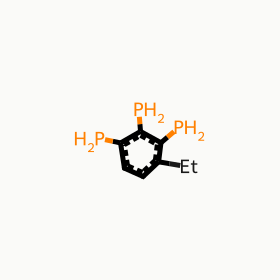 CCc1ccc(P)c(P)c1P